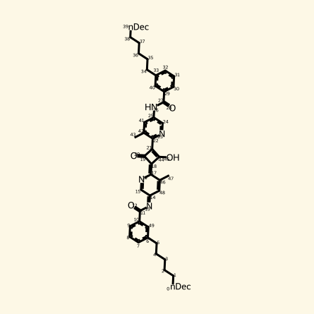 CCCCCCCCCCCCCCCc1cccc(C(=O)/N=C2C=N/C(=C3\C(=O)C(c4ncc(NC(=O)c5cccc(CCCCCCCCCCCCCCC)c5)cc4C)=C3O)C(C)=C\2)c1